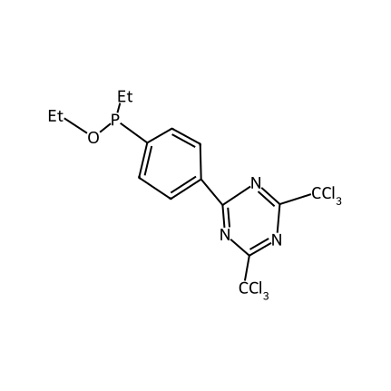 CCOP(CC)c1ccc(-c2nc(C(Cl)(Cl)Cl)nc(C(Cl)(Cl)Cl)n2)cc1